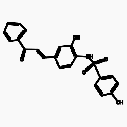 O=C(C=Cc1ccc(NS(=O)(=O)c2ccc(O)cc2)c(O)c1)c1ccccc1